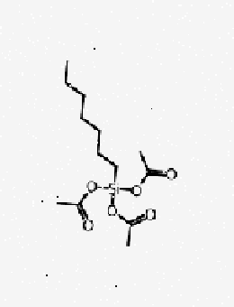 CCCCCCC[Si](OC(C)=O)(OC(C)=O)OC(C)=O